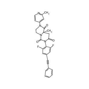 Cc1cc(N2CCN3C(=O)N(c4c(F)cc(C#Cc5ccccc5)cc4F)C(=O)CC3(C)C2=O)ccn1